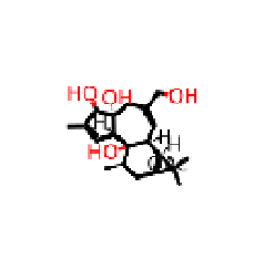 CC(=O)O[C@@]12C[C@@H](C)[C@@]3(O)[C@@H](C=C(CO)C[C@]4(O)C(O)C(C)=C[C@@H]34)[C@H]1C2(C)C